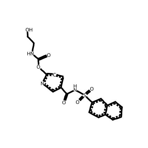 O=C(NCCO)Oc1ccc(C(=O)NS(=O)(=O)c2ccc3ccccc3c2)cn1